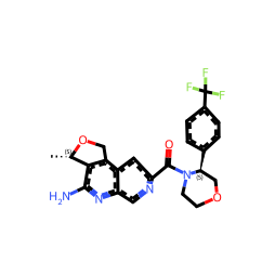 C[C@@H]1OCc2c1c(N)nc1cnc(C(=O)N3CCOC[C@@H]3c3ccc(C(F)(F)F)cc3)cc21